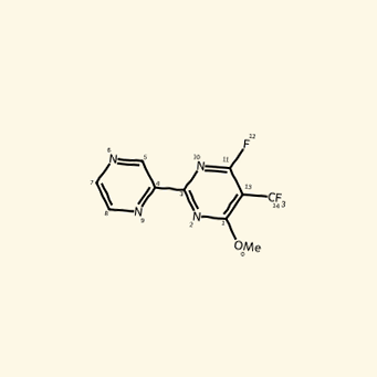 COc1nc(-c2cnccn2)nc(F)c1C(F)(F)F